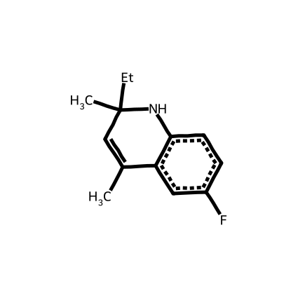 CCC1(C)C=C(C)c2cc(F)ccc2N1